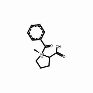 C[N@+]1(C(=O)c2ccccc2)CCCC1C(=O)O